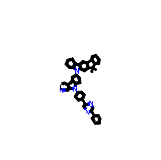 CC1(C)c2ccccc2-c2cc3c4ccccc4n(-c4ccc5c(c4)c4ccncc4n5-c4ccc(-c5cnc(-c6ccccc6)cn5)cc4)c3cc21